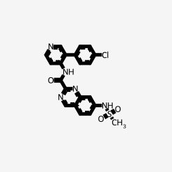 CS(=O)(=O)Nc1ccc2cnc(C(=O)Nc3ccncc3-c3ccc(Cl)cc3)nc2c1